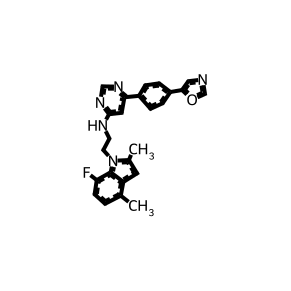 Cc1ccc(F)c2c1cc(C)n2CCNc1cc(-c2ccc(-c3cnco3)cc2)ncn1